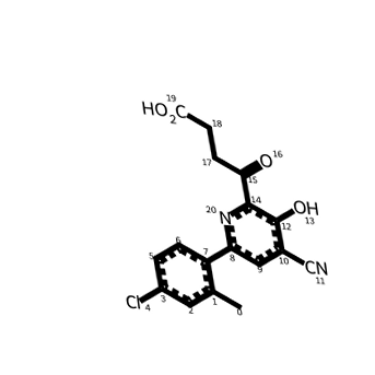 Cc1cc(Cl)ccc1-c1cc(C#N)c(O)c(C(=O)CCC(=O)O)n1